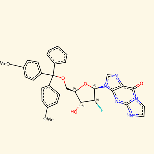 COc1ccc(C(OC[C@H]2O[C@@H](n3cnc4c(=O)n5cc[nH]c5nc43)[C@@H](F)[C@@H]2O)(c2ccccc2)c2ccc(OC)cc2)cc1